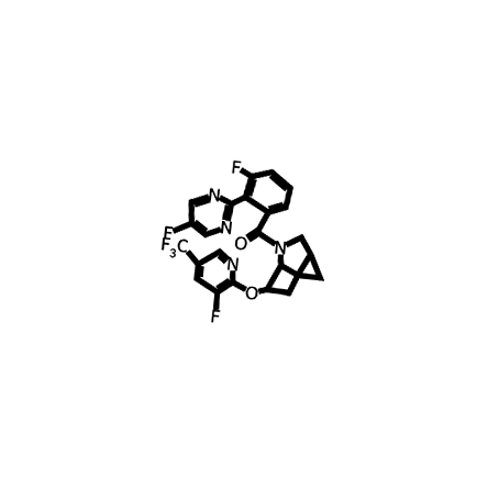 O=C(c1cccc(F)c1-c1ncc(F)cn1)N1CC2CC23CC(Oc2ncc(C(F)(F)F)cc2F)C13